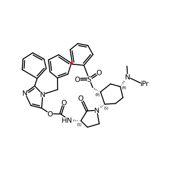 CC(C)N(C)[C@@H]1CC[C@H](N2CC[C@H](NC(=O)Oc3cnc(-c4ccccc4)n3Cc3ccccc3)C2=O)[C@H](CS(=O)(=O)c2ccccc2)C1